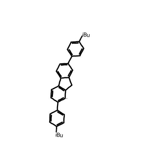 CCC(C)c1ccc(-c2[c]c3c(cc2)-c2ccc(-c4ccc(C(C)CC)cc4)cc2C3)cc1